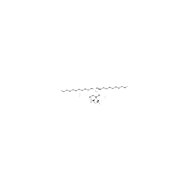 CCCCCCCCCCCNCCCCCCCCCCC.O=C(O)CC(C(=O)O)S(=O)(=O)O